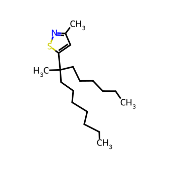 CCCCCCCC(C)(CCCCCC)c1cc(C)ns1